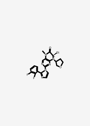 CC[C@@H]1C(=O)N(C)c2cnc(-n3ccnc3-c3cccc(F)c3F)nc2N1C1CCOC1